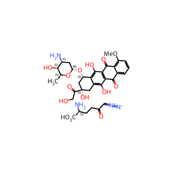 COc1cccc2c1C(=O)c1c(O)c3c(c(O)c1C2=O)C[C@@](O)(C(=O)CO)C[C@@H]3O[C@H]1C[C@H](N)[C@H](O)[C@H](C)O1.[N-]=[N+]=CC(=O)CC[C@H](N)C(=O)O